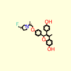 CC1=C(c2ccc(O)cc2)C(c2ccc(OC[C@H](C)N3CC[C@@H](CF)C3)cc2)Oc2cc(O)ccc21